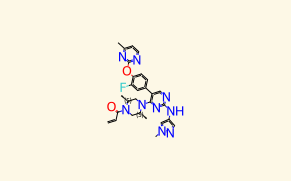 C=CC(=O)N1C[C@H](C)N(c2nc(Nc3cnn(C)c3)ncc2-c2ccc(Oc3nccc(C)n3)c(F)c2)C[C@@H]1C